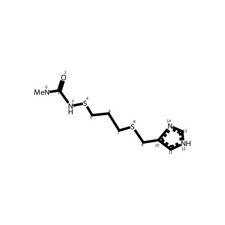 CNC(=O)NSCCCSCc1c[nH]cn1